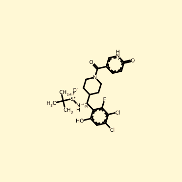 CC(C)(C)[S@+]([O-])N[C@@H](c1c(O)cc(Cl)c(Cl)c1F)C1CCN(C(=O)c2ccc(=O)[nH]c2)CC1